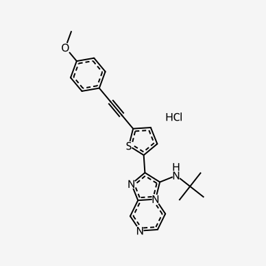 COc1ccc(C#Cc2ccc(-c3nc4cnccn4c3NC(C)(C)C)s2)cc1.Cl